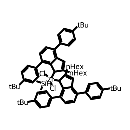 CCCCCCC1=Cc2c(-c3ccc(C(C)(C)C)cc3)ccc(-c3ccc(C(C)(C)C)cc3)c2[CH]1[Zr]([Cl])([Cl])([CH]1C(CCCCCC)=Cc2c(-c3ccc(C(C)(C)C)cc3)ccc(-c3ccc(C(C)(C)C)cc3)c21)[SiH](C)C